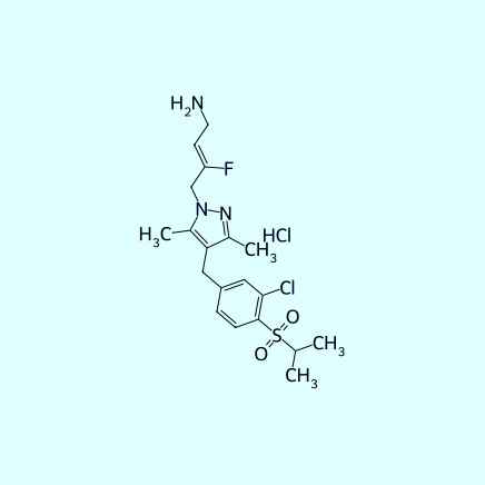 Cc1nn(C/C(F)=C/CN)c(C)c1Cc1ccc(S(=O)(=O)C(C)C)c(Cl)c1.Cl